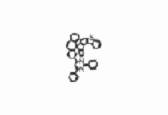 C1=Cc2ccc(-c3cc(-c4ccccc4)nc(-c4ccccc4)n3)cc2C2(c3ccccc31)c1ccccc1-c1c2ccc2sc3ccccc3c12